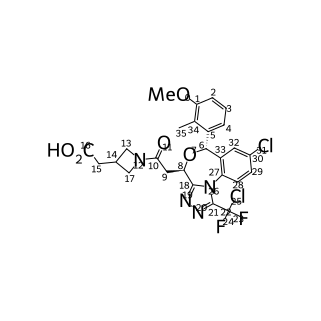 COc1cccc([C@H]2O[C@H](CC(=O)N3CC(CC(=O)O)C3)c3nnc(C(F)(F)Cl)n3-c3ccc(Cl)cc32)c1C